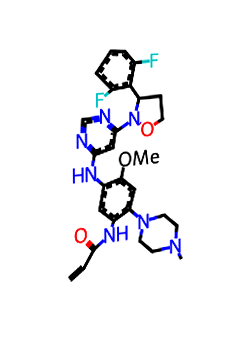 C=CC(=O)Nc1cc(Nc2cc(N3OCCC3c3c(F)cccc3F)ncn2)c(OC)cc1N1CCN(C)CC1